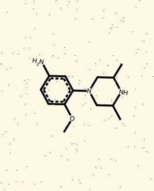 COc1ccc(N)cc1N1CC(C)NC(C)C1